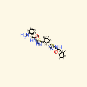 Cc1ccccc1CC(=O)Nc1nnc([C@H]2CCC[C@H](c3nnc(NC(=O)Cc4ccccc4N)s3)C2)s1